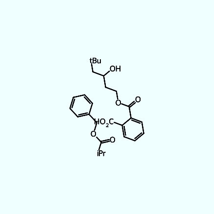 CC(C)(C)CC(O)CCOC(=O)c1ccccc1C(=O)O.CC(C)C(=O)OCc1ccccc1